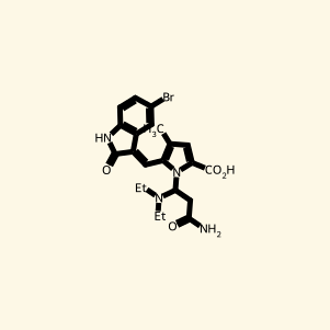 CCN(CC)C(CC(N)=O)n1c(C(=O)O)cc(C)c1C=C1C(=O)Nc2ccc(Br)cc21